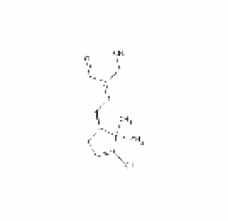 CCC(C=O)=CC[C@@H]1CC=C(C)C1(C)C